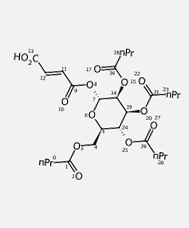 CCCC(=O)OC[C@H]1O[C@H](OC(=O)/C=C/C(=O)O)[C@@H](OC(=O)CCC)[C@@H](OC(=O)CCC)[C@@H]1OC(=O)CCC